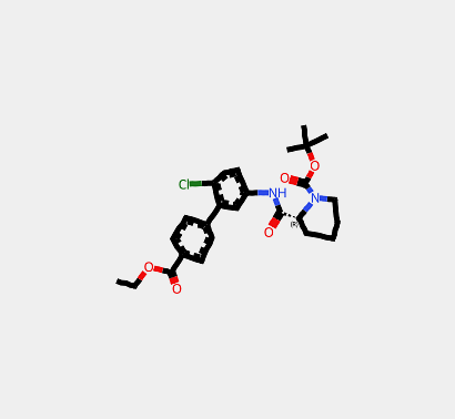 CCOC(=O)c1ccc(-c2cc(NC(=O)[C@H]3CCCCN3C(=O)OC(C)(C)C)ccc2Cl)cc1